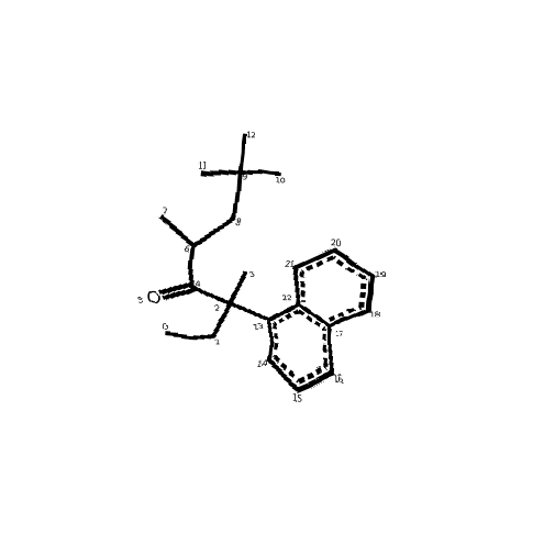 CCC(C)(C(=O)C(C)CC(C)(C)C)c1cccc2ccccc12